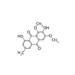 COc1cc2c(c(OC)c1O)C(=O)c1c(O)cc(C)cc1C2=O